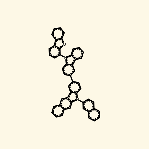 c1ccc2cc(-n3c4ccc(-c5ccc6c(c5)c5ccccc5n6-c5cccc6c5oc5ccccc56)cc4c4cc5ccccc5cc43)ccc2c1